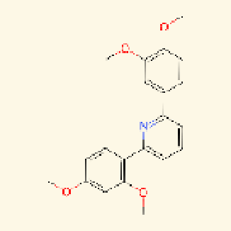 COc1ccc(-c2cccc(-c3ccc(OC)c(OC)c3)n2)c(OC)c1